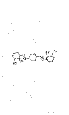 CC(C)c1cccc(O[SiH2]c2ccc([SiH2]Oc3cccc(C(C)C)c3C(C)C)cc2)c1C(C)C